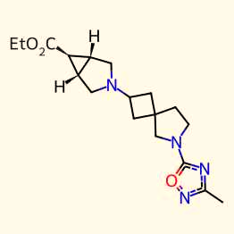 CCOC(=O)[C@H]1[C@@H]2CN(C3CC4(CCN(c5nc(C)no5)C4)C3)C[C@@H]21